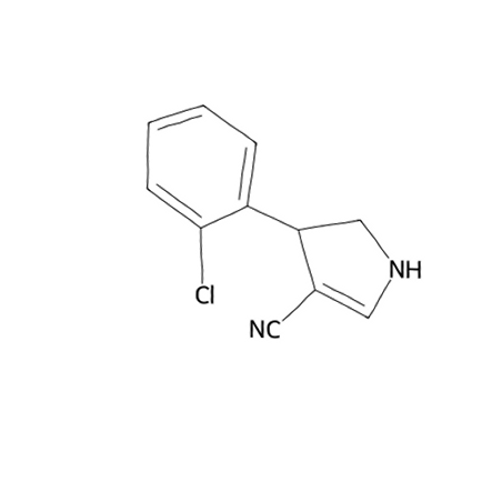 N#CC1=CNCC1c1ccccc1Cl